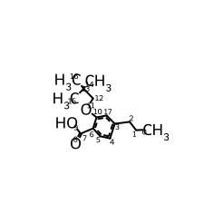 CCCc1ccc(C(=O)O)c(OCC(C)(C)C)c1